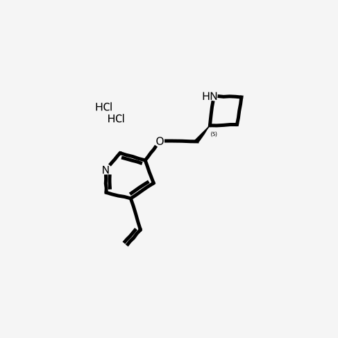 C=Cc1cncc(OC[C@@H]2CCN2)c1.Cl.Cl